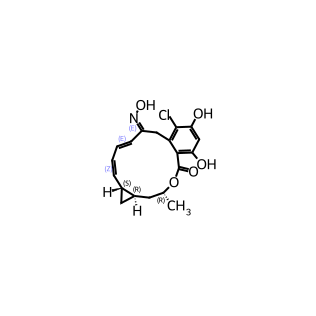 C[C@@H]1C[C@H]2C[C@@H]2\C=C/C=C/C(=N/O)Cc2c(Cl)c(O)cc(O)c2C(=O)O1